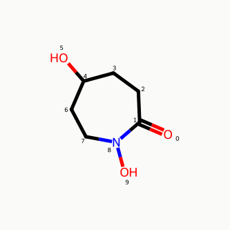 O=C1CCC(O)CCN1O